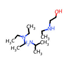 CC(C)N.CCN(CC)CC.CCNCCO